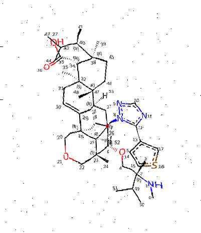 CN[C@@](C)(CO[C@H]1[C@H](n2ncnc2-c2ccsc2)C[C@@]23COC[C@]1(C)[C@@H]2CC[C@H]1C3=CC[C@@]2(C)[C@H](C(=O)O)[C@@](C)([C@H](C)C(C)C)CC[C@]12C)C(C)C